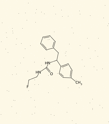 Cc1ccc(C(Cc2ccccc2)NC(=O)NCCF)cc1